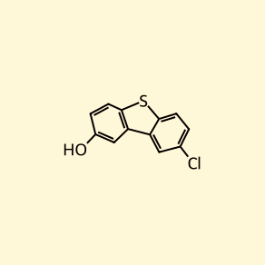 Oc1ccc2sc3ccc(Cl)cc3c2c1